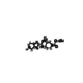 CN1CCc2nc(C(=O)NC3CCN(C(=O)OC(C)(C)C)CC3N)sc2C1